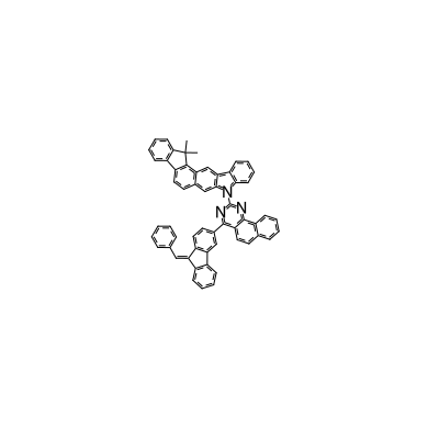 CC1(C)c2ccccc2-c2ccc3cc4c(cc3c21)c1ccccc1n4-c1nc(-c2ccc3c(c2)-c2ccccc2/C3=C/c2ccccc2)c2ccc3ccccc3c2n1